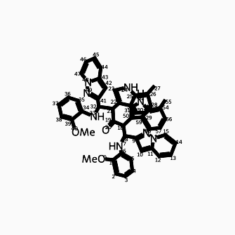 COc1ccccc1NC(c1cc2ccccn2n1)C(C(=O)C(c1c[nH]c2c(C)cccc12)C(Nc1ccccc1OC)c1cc2ccccn2n1)c1c[nH]c2c(C)cccc12